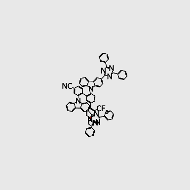 N#Cc1ccc(-c2cc(-c3ccc(C#N)cc3C(F)(F)F)ccc2-n2c3ccccc3c3cc(-c4nc(-c5ccccc5)nc(-c5ccccc5)n4)ccc32)c(-n2c3ccccc3c3cc(-c4nc(-c5ccccc5)nc(-c5ccccc5)n4)ccc32)c1